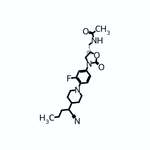 CCCC(C#N)C1CCN(c2ccc(N3C[C@H](CNC(C)=O)OC3=O)cc2F)CC1